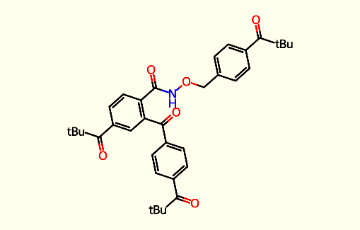 CC(C)(C)C(=O)c1ccc(CONC(=O)c2ccc(C(=O)C(C)(C)C)cc2C(=O)c2ccc(C(=O)C(C)(C)C)cc2)cc1